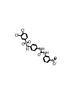 O=C(Nc1ccc(NS(=O)(=O)c2ccc(Cl)c(Cl)c2)cc1)Nc1cccc([N+](=O)[O-])c1